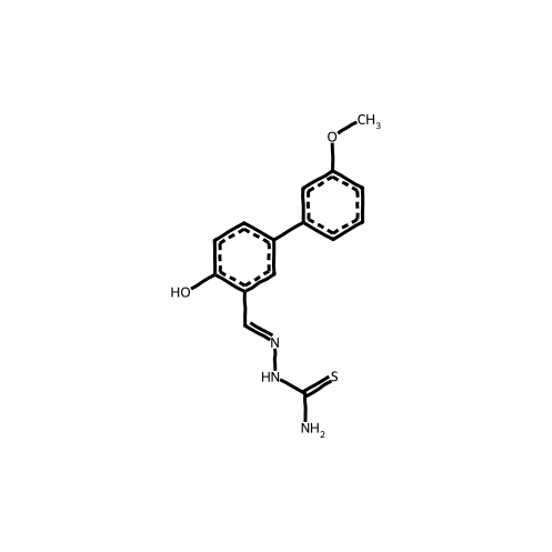 COc1cccc(-c2ccc(O)c(C=NNC(N)=S)c2)c1